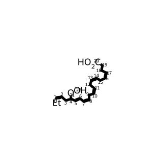 CC/C=C\CC(/C=C/C=C\C/C=C\C/C=C\C/C=C\CCC(=O)O)OO